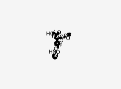 C[C@@H](O)[C@H]1C(=O)N2C(C(=O)OCOC(=O)C(C)(C)C)=C(c3ccc(COC(=O)Nc4ccccn4)c(F)c3)C[C@H]12